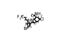 NC(=O)c1cc(Cl)cc2cc(-c3cc(Br)nn3CCCC(F)(F)F)[nH]c12